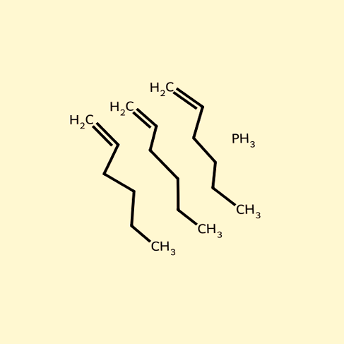 C=CCCCC.C=CCCCC.C=CCCCC.P